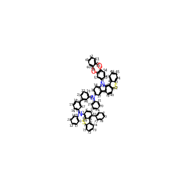 c1ccc(-c2ccc(N(c3ccccc3)c3cccc(-c4cccc(N(c5ccccc5)c5ccc6c(c5)c5ccc7sc8ccccc8c7c5n6-c5ccc6c(c5)Oc5ccccc5O6)c4)c3)c3sc4ccccc4c23)cc1